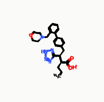 CCC[C@H](C(=O)O)[C@H](Cc1ccc(-c2ccccc2CN2CCOCC2)cc1)c1nn[nH]n1